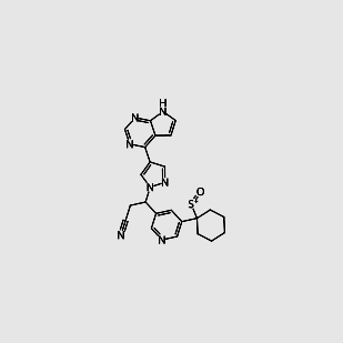 N#CCC(c1cncc(C2([S+]=O)CCCCC2)c1)n1cc(-c2ncnc3[nH]ccc23)cn1